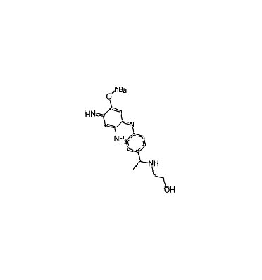 CCCCOC1=CC(=Nc2ccc(C(C)NCCO)cc2)C(N)=CC1=N